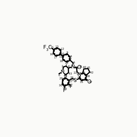 CN1CCC(N(Cc2ccc(-c3ccc(C(F)(F)F)cc3)cc2)C(=O)Cn2c(SCc3cccc(F)c3F)cc(=O)c3c2CCC3)CC1